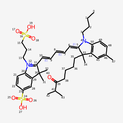 CCCCN1/C(=C/C=C/C=C/C2=[N+](CCCS(=O)(=O)O)c3ccc(S(=O)(=O)O)cc3C2(C)C)C(C)(CCCCC(=O)C(C)C)c2cc(C)ccc21